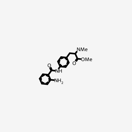 CNC(Cc1ccc(NC(=O)c2ccccc2N)cc1)C(=O)OC